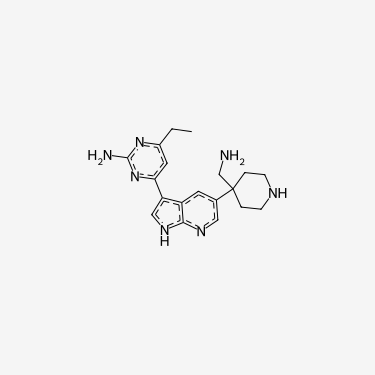 CCc1cc(-c2c[nH]c3ncc(C4(CN)CCNCC4)cc23)nc(N)n1